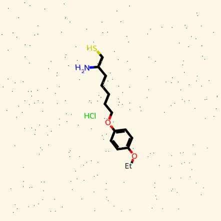 CCOc1ccc(OCCCCCC(N)CS)cc1.Cl